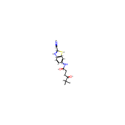 CC(C)(C)C(=O)CCC(=O)Nc1ccc2nc(C#N)sc2c1